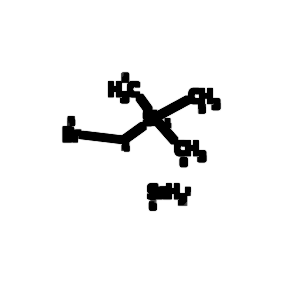 C[Si](C)(C)CBr.[SnH2]